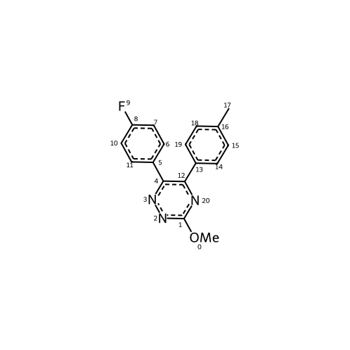 COc1nnc(-c2ccc(F)cc2)c(-c2ccc(C)cc2)n1